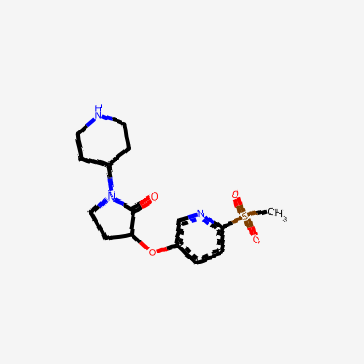 CS(=O)(=O)c1ccc(OC2CCN(C3CCNCC3)C2=O)cn1